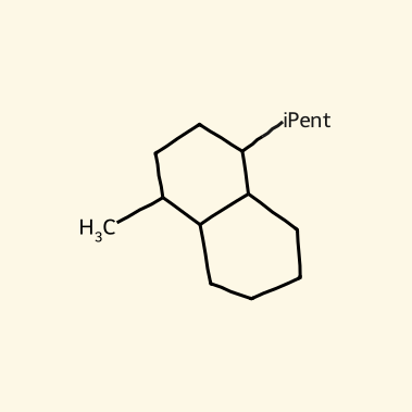 [CH2]CCC(C)C1CCC(C)C2CCCCC21